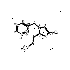 NCCC1SC(Cl)=CN1Cc1cccnn1